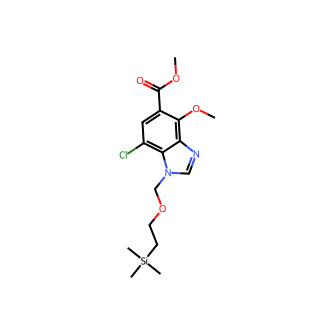 COC(=O)c1cc(Cl)c2c(ncn2COCC[Si](C)(C)C)c1OC